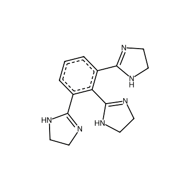 c1cc(C2=NCCN2)c(C2=NCCN2)c(C2=NCCN2)c1